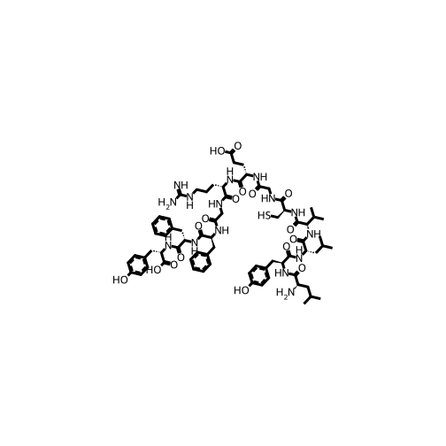 CC(C)C[C@H](NC(=O)[C@H](Cc1ccc(O)cc1)NC(=O)[C@@H](N)CC(C)C)C(=O)N[C@H](C(=O)N[C@@H](CS)C(=O)NCC(=O)N[C@@H](CCC(=O)O)C(=O)N[C@@H](CCCNC(=N)N)C(=O)NCC(=O)N[C@@H](Cc1ccccc1)C(=O)N[C@@H](Cc1ccccc1)C(=O)N[C@@H](Cc1ccc(O)cc1)C(=O)O)C(C)C